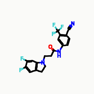 N#Cc1ccc(NC(=O)CCN2CCc3cc(F)c(F)cc32)cc1C(F)(F)F